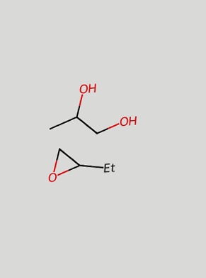 CC(O)CO.CCC1CO1